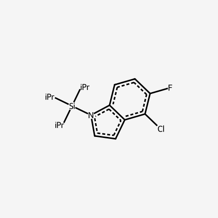 CC(C)[Si](C(C)C)(C(C)C)n1ccc2c(Cl)c(F)ccc21